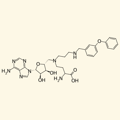 Nc1ncnc2c1ncn2[C@@H]1O[C@H](CN(CCCNCc2cccc(Oc3ccccc3)c2)CCC(N)C(=O)O)[C@@H](O)[C@H]1O